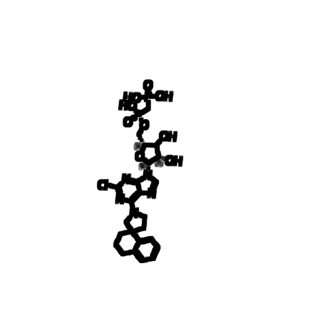 O=P(O)(O)CP(=O)(O)OC[C@H]1O[C@@H](n2cnc3c(N4CCC5(CCCc6ccccc65)C4)nc(Cl)nc32)[C@@H](O)C1O